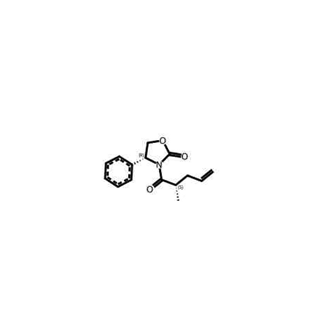 C=CC[C@H](C)C(=O)N1C(=O)OC[C@H]1c1ccccc1